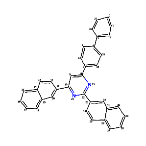 c1ccc(-c2ccc(-c3cc(-c4ccc5ccccc5c4)nc(-c4ccc5ccccc5c4)n3)cc2)cc1